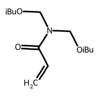 C=CC(=O)N(COCC(C)C)COCC(C)C